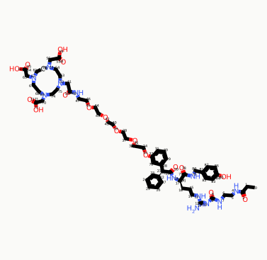 CCC(=O)NCCNC(=O)/N=C(/N)NCCC[C@@H](NC(=O)[C@H](c1ccccc1)c1cccc(OCCOCCOCCOCCOCCNC(=O)CN2CCN(CC(=O)O)CCN(CC(=O)O)CCN(CC(=O)O)CC2)c1)C(=O)NCc1ccc(O)cc1